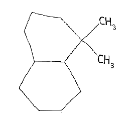 CC1(C)CCCC2CC[CH]CC21